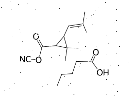 CC(C)=CC1C(C(=O)OC#N)C1(C)C.CCCCC(=O)O